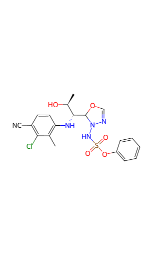 Cc1c(N[C@@H](C2OC=NN2NS(=O)(=O)Oc2ccccc2)[C@H](C)O)ccc(C#N)c1Cl